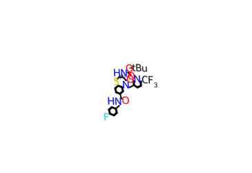 CC(C)(C)OC(=O)N[C@H]1CSc2ccc(C(=O)NCc3ccc(F)cc3)cc2N(Cc2ccc(C(F)(F)F)nc2)C1=O